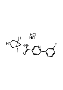 Cl.Cl.O=C(N[C@H]1[C@@H]2CNC[C@@H]21)c1ccc(-c2cccc(F)c2)nc1